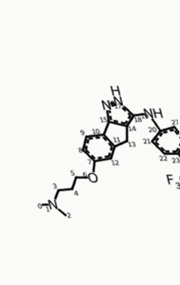 CN(C)CCCOc1ccc2c(c1)Cc1c-2n[nH]c1Nc1ccc(OC(F)(F)F)cc1